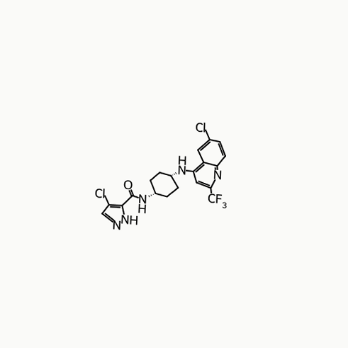 O=C(N[C@H]1CC[C@@H](Nc2cc(C(F)(F)F)nc3ccc(Cl)cc23)CC1)c1[nH]ncc1Cl